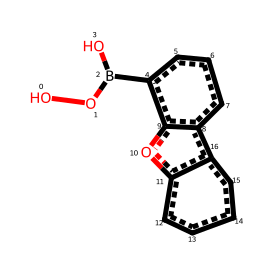 OOB(O)c1cccc2c1oc1ccccc12